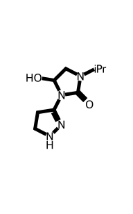 CC(C)N1CC(O)N(C2=NNCC2)C1=O